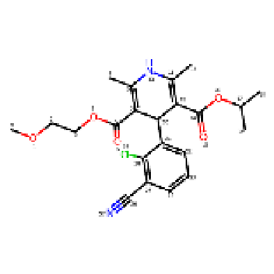 COCCOC(=O)C1=C(C)NC(C)=C(C(=O)OC(C)C)C1c1cccc(C#N)c1Cl